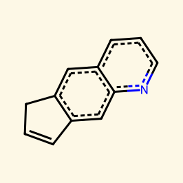 C1=Cc2cc3ncccc3cc2C1